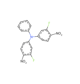 O=[N+]([O-])c1ccc(N(c2ccccc2)c2ccc([N+](=O)[O-])c(F)c2)cc1F